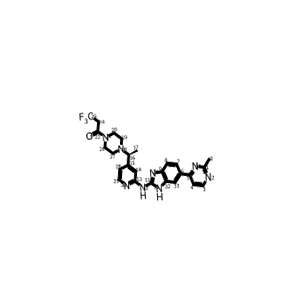 Cc1nccc(-c2ccc3nc(Nc4cc([C@H](C)N5CCN(C(=O)CC(F)(F)F)CC5)ccn4)[nH]c3c2)n1